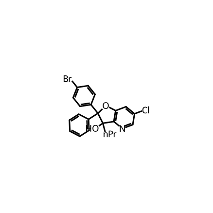 CCCC1(O)c2ncc(Cl)cc2OC1(c1ccccc1)c1ccc(Br)cc1